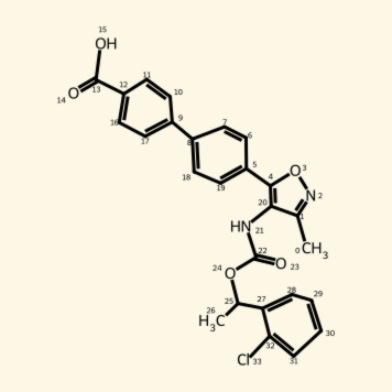 Cc1noc(-c2ccc(-c3ccc(C(=O)O)cc3)cc2)c1NC(=O)OC(C)c1ccccc1Cl